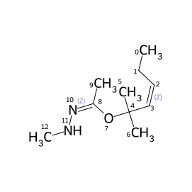 CC/C=C\C(C)(C)O/C(C)=N\NC